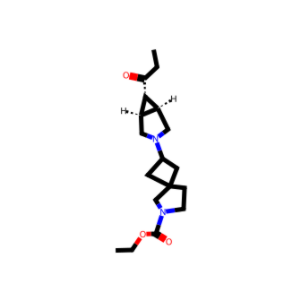 CCOC(=O)N1CCC2(CC(N3C[C@@H]4[C@H](C3)[C@H]4C(=O)CC)C2)C1